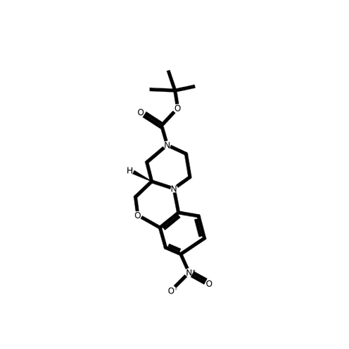 CC(C)(C)OC(=O)N1CCN2c3ccc([N+](=O)[O-])cc3OC[C@@H]2C1